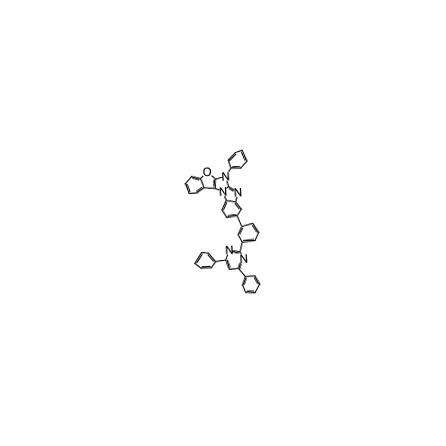 c1ccc(-c2cc(-c3ccccc3)nc(-c3cccc(-c4ccc5c(c4)nc4n(-c6ccccc6)c6oc7ccccc7c6n54)c3)n2)cc1